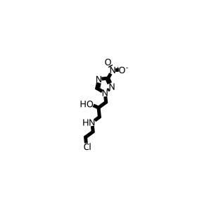 O=[N+]([O-])c1ncn(CC(O)CNCCCl)n1